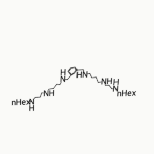 CCCCCCNCCCNCCCCNCc1cccc(CNCCCCNCCCNCCCCCC)c1